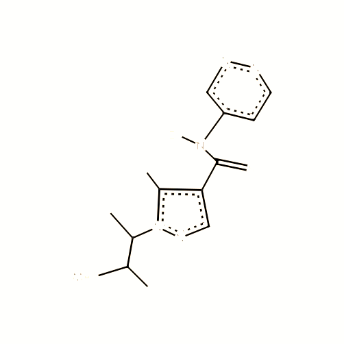 CCN(C(=S)c1cnn(C(C)C(C)SC)c1C)c1ccnnc1